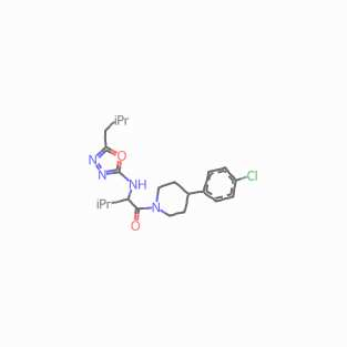 CC(C)Cc1nnc(NC(C(=O)N2CCC(c3ccc(Cl)cc3)CC2)C(C)C)o1